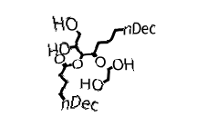 CCCCCCCCCCCCCC(=O)OC(C(=O)CCCCCCCCCCCCC)C(O)CO.OCCO